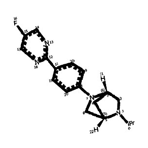 CC(C)N1C[C@@H]2C[C@H]1CN2c1ccc(-c2ncc(F)cn2)cc1